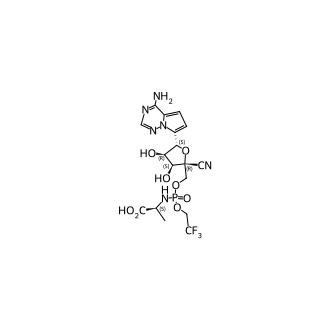 C[C@H](NP(=O)(OCC(F)(F)F)OC[C@@]1(C#N)O[C@@H](c2ccc3c(N)ncnn23)[C@H](O)[C@@H]1O)C(=O)O